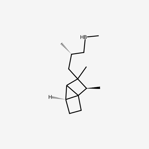 CBC[C@@H](C)CC1(C)C2[C@@H]3CCC23[C@@H]1C